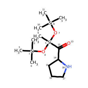 C[Si](C)(C)O[Si](C)(O[Si](C)(C)C)C(=O)C1CCCN1